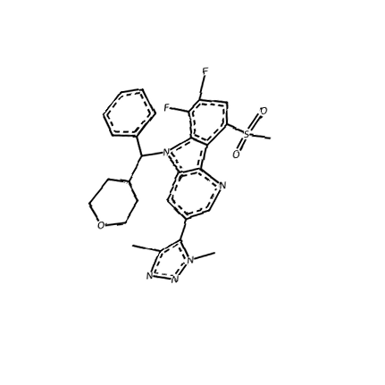 Cc1nnn(C)c1-c1cnc2c3c(S(C)(=O)=O)cc(F)c(F)c3n(C(c3ccccc3)C3CCOCC3)c2c1